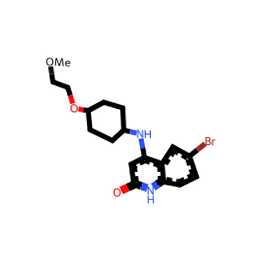 COCCOC1CCC(Nc2cc(=O)[nH]c3ccc(Br)cc23)CC1